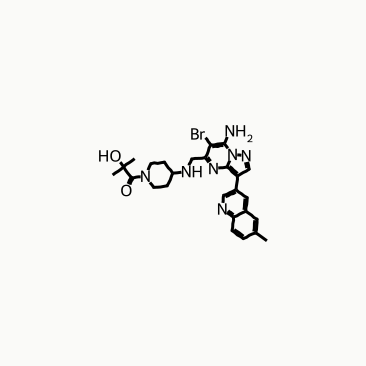 Cc1ccc2ncc(-c3cnn4c(N)c(Br)c(CNC5CCN(C(=O)C(C)(C)O)CC5)nc34)cc2c1